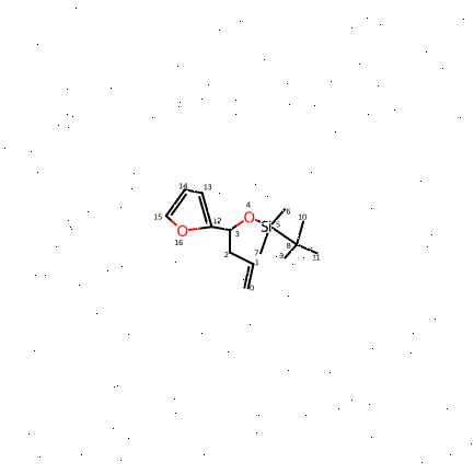 C=CCC(O[Si](C)(C)C(C)(C)C)c1ccco1